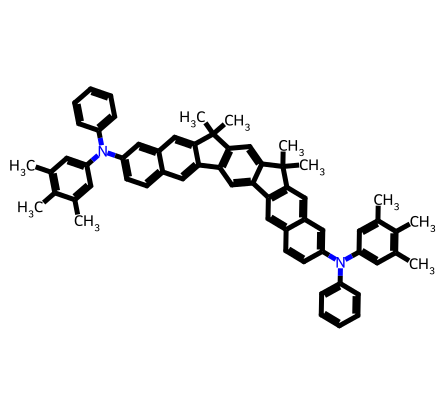 Cc1cc(N(c2ccccc2)c2ccc3cc4c(cc3c2)C(C)(C)c2cc3c(cc2-4)-c2cc4ccc(N(c5ccccc5)c5cc(C)c(C)c(C)c5)cc4cc2C3(C)C)cc(C)c1C